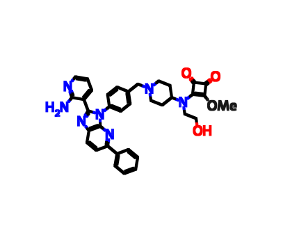 COc1c(N(CCO)C2CCN(Cc3ccc(-n4c(-c5cccnc5N)nc5ccc(-c6ccccc6)nc54)cc3)CC2)c(=O)c1=O